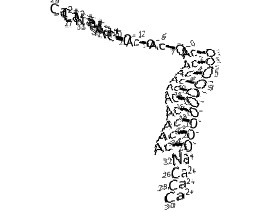 CC(=O)[O-].CC(=O)[O-].CC(=O)[O-].CC(=O)[O-].CC(=O)[O-].CC(=O)[O-].CC(=O)[O-].CC(=O)[O-].CC(=O)[O-].CC(=O)[O-].CC(=O)[O-].CC(=O)[O-].CC(=O)[O-].[Ca+2].[Ca+2].[Ca+2].[Ca+2].[Ca+2].[Na+].[Na+].[Na+]